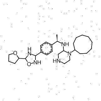 C[C@@H](NC1CNCCN1C1CCCCCCCC1)c1ccc(C2NOC(C3CCCO3)N2)cc1